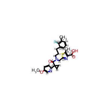 COc1ccc(C2(C(=O)N(CCCc3cccc(C)c3F)Cc3nc(C(=O)O)c(C)s3)CC2)nc1